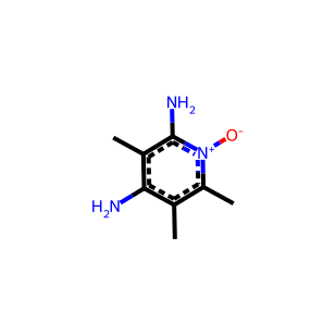 Cc1c(N)c(C)c(N)[n+]([O-])c1C